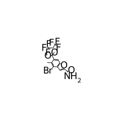 Cc1c(C(=O)OC(C(F)(F)F)C(F)(F)F)cc2oc(C(N)=O)cc2c1Br